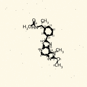 COc1nc2cnc3sc(-c4cccc([C@@H](C)NC(C)=O)c4)nc3c2n1C